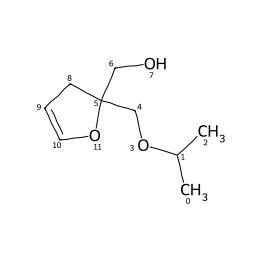 CC(C)OCC1(CO)CC=CO1